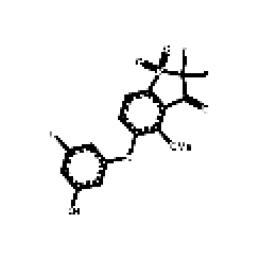 COc1c(Oc2cc(F)cc(C#N)c2)ccc2c1C(=O)C(F)(F)S2(=O)=O